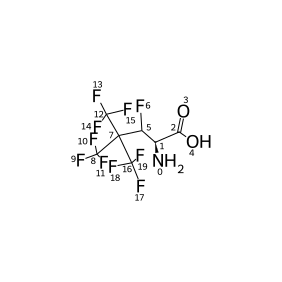 N[C@H](C(=O)O)C(F)C(C(F)(F)F)(C(F)(F)F)C(F)(F)F